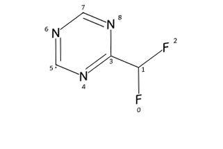 FC(F)c1n[c]ncn1